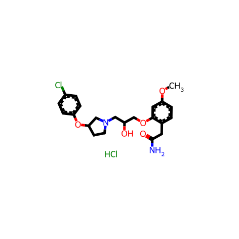 COc1ccc(CC(N)=O)c(OCC(O)CN2CCC(Oc3ccc(Cl)cc3)C2)c1.Cl